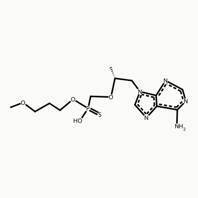 COCCCOP(O)(=S)CO[C@H](C)Cn1cnc2c(N)ncnc21